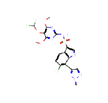 COc1nc(NS(=O)(=O)c2c[nH]c3c(-c4cnn(C)n4)c(Cl)ccc23)nc(OC)c1OC(F)F